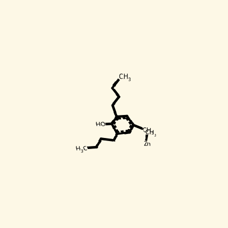 CCCCc1cc(C)cc(CCCC)c1O.[CH3][Zn]